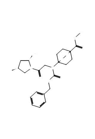 CC(C)NC(=O)C12CCC(N(CC(=O)N3C[C@@H](F)C[C@H]3C#N)C(=O)OCc3ccccc3)(CC1)CC2